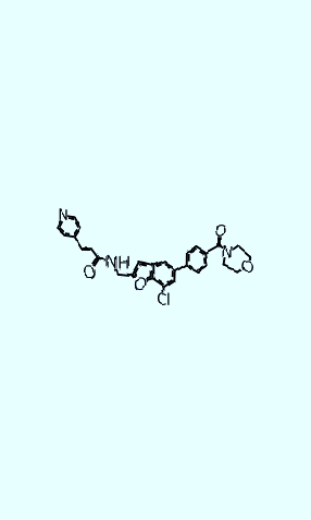 O=C(C=Cc1ccncc1)NCc1cc2cc(-c3ccc(C(=O)N4CCOCC4)cc3)cc(Cl)c2o1